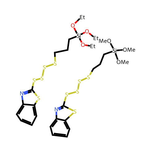 CCO[Si](CCCSSSSc1nc2ccccc2s1)(OCC)OCC.CO[Si](CCCSSSSc1nc2ccccc2s1)(OC)OC